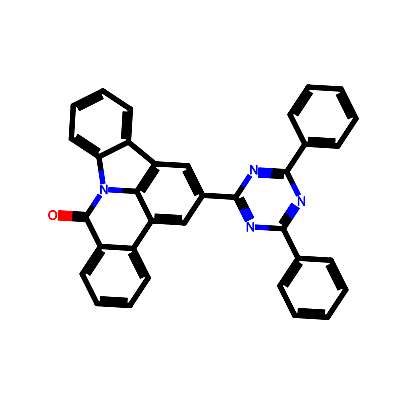 O=c1c2ccccc2c2cc(-c3nc(-c4ccccc4)nc(-c4ccccc4)n3)cc3c4ccccc4n1c23